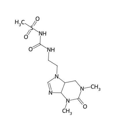 CN1CC2C(N=CN2CCNC(=O)NS(C)(=O)=O)N(C)C1=O